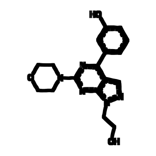 OCCn1ncc2c(-c3cccc(O)c3)nc(N3CCOCC3)nc21